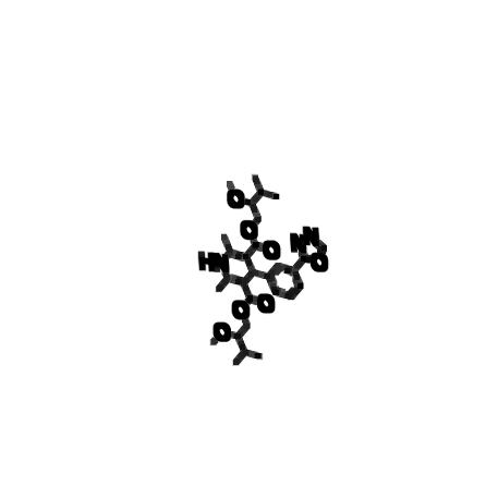 COC(COC(=O)C1=C(C)NC(C)=C(C(=O)OCC(OC)C(C)C)C1c1cccc(-c2nnco2)c1)C(C)C